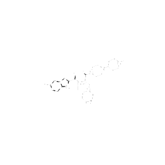 CN1CCC(N2CCN(C(=O)[C@@H](CN3CCCCC3)NC(=O)c3cc4cc(Cl)ccc4[nH]3)CC2)CC1.Cl